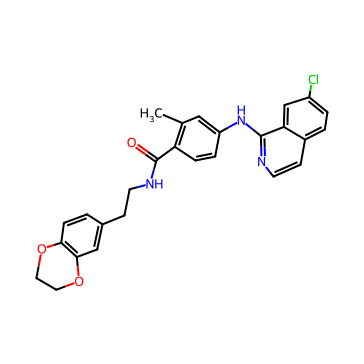 Cc1cc(Nc2nccc3ccc(Cl)cc23)ccc1C(=O)NCCc1ccc2c(c1)OCCO2